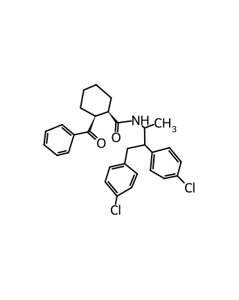 CC(NC(=O)[C@@H]1CCCC[C@@H]1C(=O)c1ccccc1)C(Cc1ccc(Cl)cc1)c1ccc(Cl)cc1